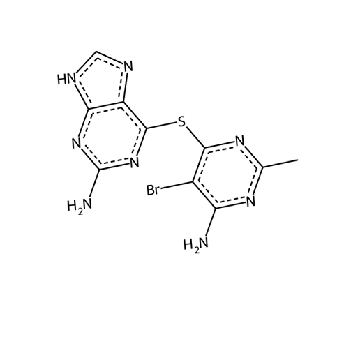 Cc1nc(N)c(Br)c(Sc2nc(N)nc3[nH]cnc23)n1